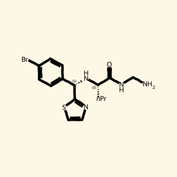 CCC[C@H](N[C@@H](c1ccc(Br)cc1)c1nccs1)C(=O)NCN